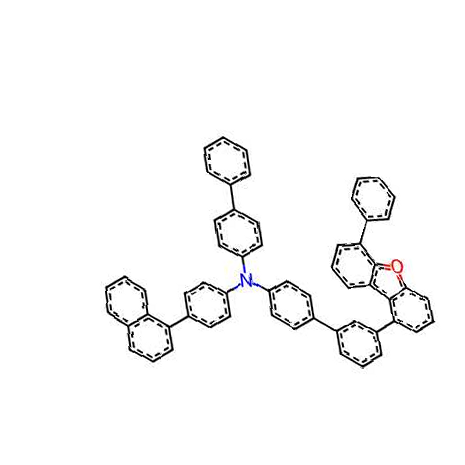 c1ccc(-c2ccc(N(c3ccc(-c4cccc(-c5cccc6oc7c(-c8ccccc8)cccc7c56)c4)cc3)c3ccc(-c4cccc5ccccc45)cc3)cc2)cc1